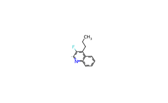 CCCc1c(F)[c]nc2ccccc12